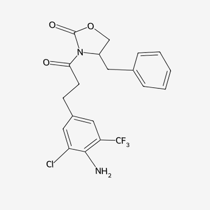 Nc1c(Cl)cc(CCC(=O)N2C(=O)OCC2Cc2ccccc2)cc1C(F)(F)F